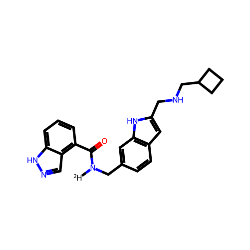 [2H]N(Cc1ccc2cc(CNCC3CCC3)[nH]c2c1)C(=O)c1cccc2[nH]ncc12